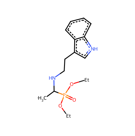 [CH2]C(NCCc1c[nH]c2ccccc12)P(=O)(OCC)OCC